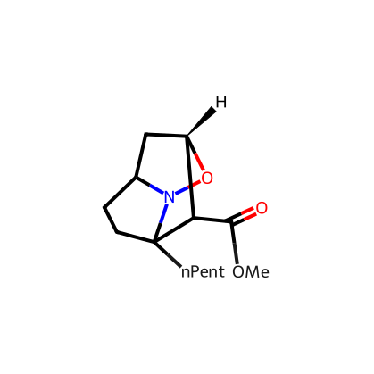 CCCCCC12CCC3C[C@H](ON31)C2C(=O)OC